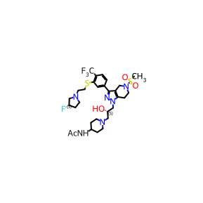 CC(=O)NC1CCN(C[C@H](O)Cn2nc(-c3ccc(C(F)(F)F)c(SCCN4CC[C@H](F)C4)c3)c3c2CCN(S(C)(=O)=O)C3)CC1